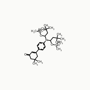 C[SiH](C)OC(CC(C)(C)C)N(c1ccc(C2=CC(=O)CC(C)(C)C2)cc1)C(CC(C)(C)C)O[SiH](C)C